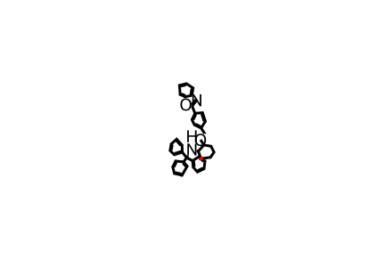 c1ccc(C(NC2CCCCC2OCc2ccc(-c3nc4ccccc4o3)cc2)(c2ccccc2)c2ccccc2)cc1